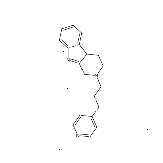 c1ccc2c(c1)N=C1CN(CCCc3ccncc3)CCC12